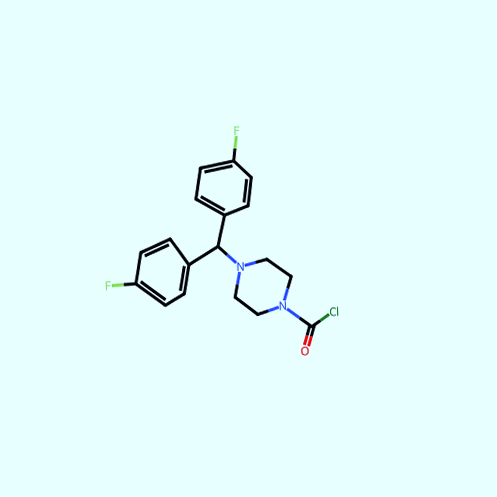 O=C(Cl)N1CCN(C(c2ccc(F)cc2)c2ccc(F)cc2)CC1